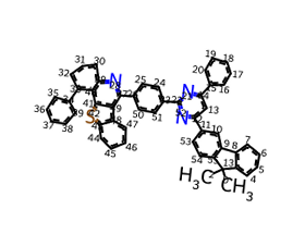 CC1(C)c2ccccc2-c2cc(-c3cc(-c4ccccc4)nc(-c4ccc(-c5nc6cccc(-c7ccccc7)c6c6sc7ccccc7c56)cc4)n3)ccc21